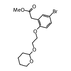 COC(=O)Cc1cc(Br)ccc1OCCOC1CCCCO1